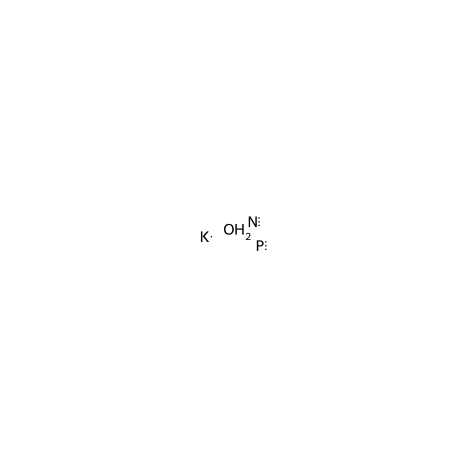 O.[K].[N].[P]